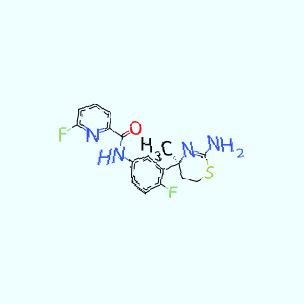 C[C@@]1(c2cc(NC(=O)c3cccc(F)n3)ccc2F)CCSC(N)=N1